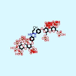 CCCC(Nc1ccc(O[C@@H]2O[C@H](COS(=O)(=O)O)[C@@H](O[C@H]3O[C@H](COS(=O)(=O)O)[C@@H](OS(=O)(=O)O)[C@H](OS(=O)(=O)O)[C@H]3OS(=O)(=O)O)[C@H](OS(=O)(=O)O)[C@H]2OS(=O)(=O)O)cc1)Nc1ccc(O[C@@H]2O[C@H](COS(=O)(=O)O)[C@@H](O[C@H]3O[C@H](COS(=O)(=O)O)[C@@H](OS(=O)(=O)O)[C@H](OS(=O)(=O)O)[C@H]3OS(=O)(=O)O)[C@H](OS(=O)(=O)O)[C@H]2OS(=O)(=O)O)cc1